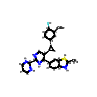 COc1cc([C@@H]2C[C@H]2c2cnc(-c3ncccn3)nc2-c2ccc3nc(C)sc3c2)ccc1F